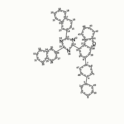 c1ccc(-c2ccc(-c3cc(-c4nc(-c5ccc6ccccc6c5)nc(-c5ccc6ccccc6c5)n4)c4c(c3)oc3ccccc34)cc2)cc1